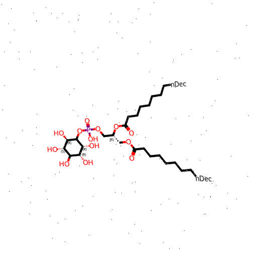 CCCCCCCCCCCCCCCCCC(=O)OC[C@H](COP(=O)(O)OC1[C@H](O)[C@H](O)C(O)[C@H](O)[C@H]1O)OC(=O)CCCCCCCCCCCCCCCCC